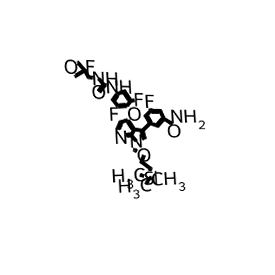 C[Si](C)(C)CCOCn1cc(-c2cc(F)cc(C(N)=O)c2)c2c(Oc3c(F)cc(NC(=O)NCC4(F)COC4)cc3F)ccnc21